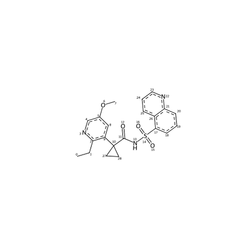 CCc1ncc(OC)cc1C1(C(=O)NS(=O)(=O)c2cccc3ncccc23)CC1